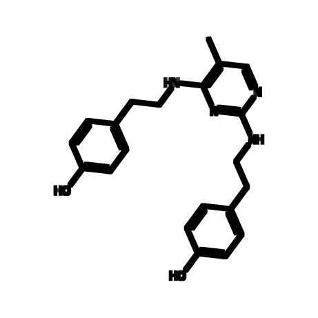 Cc1cnc(NCCc2ccc(O)cc2)nc1NCCc1ccc(O)cc1